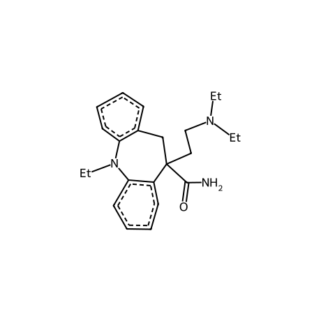 CCN(CC)CCC1(C(N)=O)Cc2ccccc2N(CC)c2ccccc21